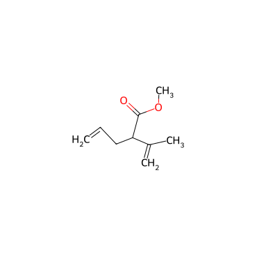 C=CCC(C(=C)C)C(=O)OC